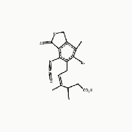 CCc1c(C)c2c(c(N=C=O)c1CC=C(C)C(C)CC(=O)O)C(=O)OC2